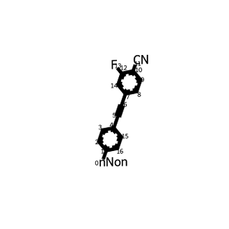 CCCCCCCCCc1ccc(C#Cc2ccc(C#N)c(F)c2)cc1